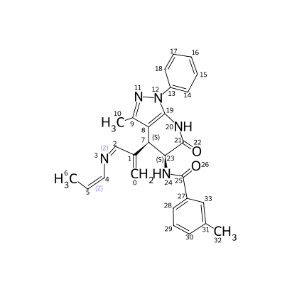 C=C(/C=N\C=C/C)[C@H]1c2c(C)nn(-c3ccccc3)c2NC(=O)[C@H]1NC(=O)c1cccc(C)c1